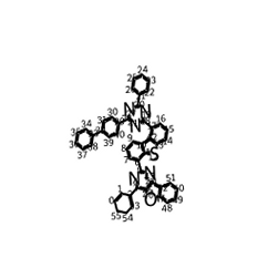 C1=CC(c2nc(-c3cccc4c3sc3cccc(-c5nc(-c6ccccc6)nc(-c6ccc(-c7ccccc7)cc6)n5)c34)nc3c2oc2ccccc23)=CCC1